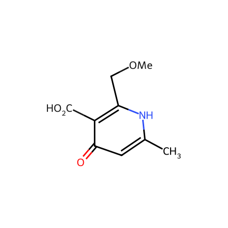 COCc1[nH]c(C)cc(=O)c1C(=O)O